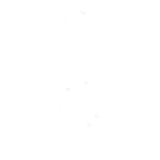 COP1(=O)N=C(c2c(O)c(-c3cccs3)nn(Cc3ccoc3)c2=O)Nc2ccc(OCC(N)=O)cc21